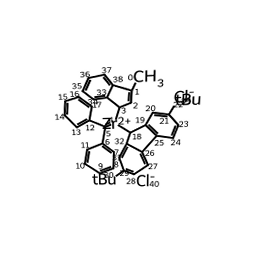 CC1=C[CH]([Zr+2](=[C](c2ccccc2)c2ccccc2)[CH]2c3cc(C(C)(C)C)ccc3-c3ccc(C(C)(C)C)cc32)c2ccccc21.[Cl-].[Cl-]